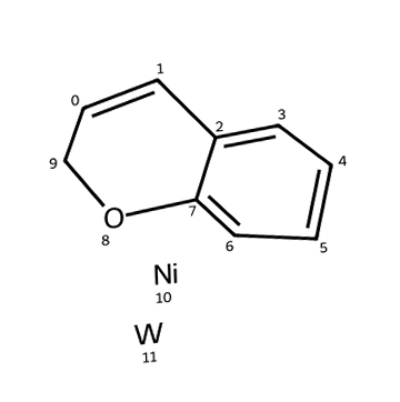 C1=Cc2ccccc2OC1.[Ni].[W]